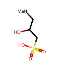 CNCC(O)CS(=O)(=O)O